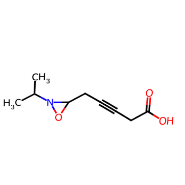 CC(C)N1OC1CC#CCC(=O)O